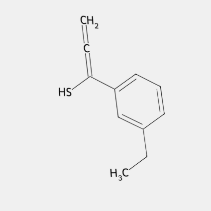 C=C=C(S)c1cccc(CC)c1